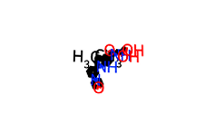 CC1(C)CC(c2cccc(N3CCOCC3)c2)Nc2ccc(C(=O)NCC(O)CO)cc21